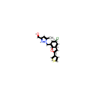 Cc1cc(C=O)nn1Cc1cc(Cl)cc2cc(-c3ccsc3)oc12